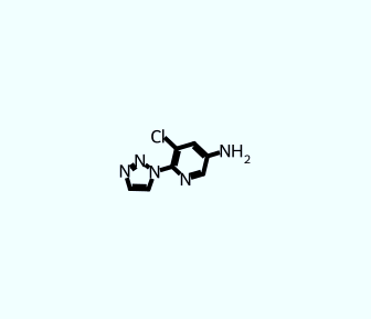 Nc1cnc(-n2ccnn2)c(Cl)c1